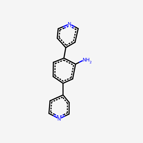 Nc1cc(-c2ccncc2)ccc1-c1ccncc1